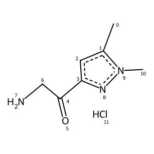 Cc1cc(C(=O)CN)nn1C.Cl